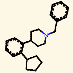 c1ccc(CN2CCC(c3ccccc3C3CCCC3)CC2)cc1